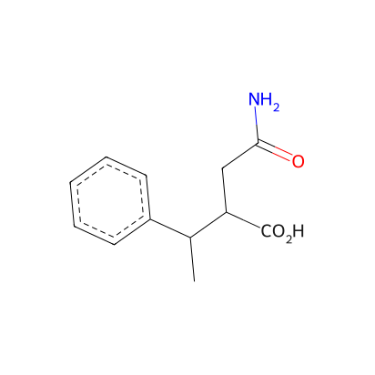 CC(c1ccccc1)C(CC(N)=O)C(=O)O